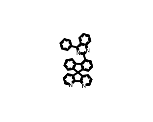 c1ccc(-c2nc(-c3cccc4c3-c3ccccc3C43c4cccnc4-c4ncccc43)nc3ccccc23)cc1